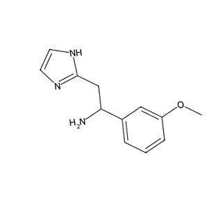 COc1cccc(C(N)Cc2ncc[nH]2)c1